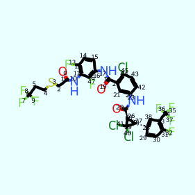 O=C(CSCCC(F)(F)F)Nc1c(F)ccc(NC(=O)c2cc(NC(=O)[C@H]3[C@H](c4ccc(F)c(C(F)(F)F)c4)C3(Cl)Cl)ccc2Cl)c1F